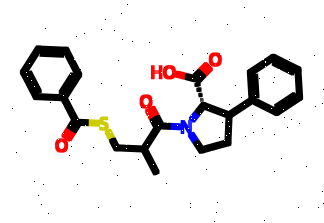 CC(CSC(=O)c1ccccc1)C(=O)N1CCC(c2ccccc2)[C@H]1C(=O)O